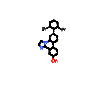 CC(C)c1cccc(C(C)C)c1-c1ccc2c3ccc(O)cc3c3nccn3c2c1